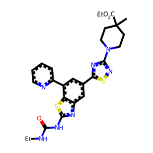 CCNC(=O)Nc1nc2cc(-c3nc(N4CCC(C)(C(=O)OCC)CC4)ns3)cc(-c3ccccn3)c2s1